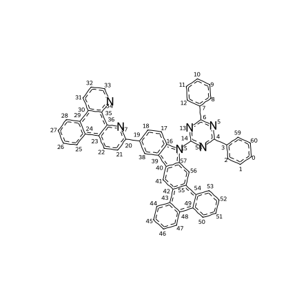 c1ccc(-c2nc(-c3ccccc3)nc(-n3c4ccc(-c5ccc6c7ccccc7c7cccnc7c6n5)cc4c4cc5c6ccccc6c6ccccc6c5cc43)n2)cc1